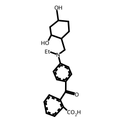 CCN(CC1CCC(O)CC1O)c1ccc(C(=O)c2ccccc2C(=O)O)cc1